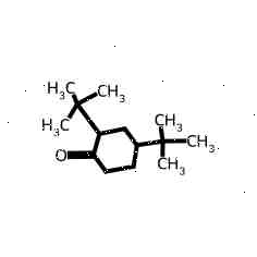 CC(C)(C)C1CCC(=O)C(C(C)(C)C)C1